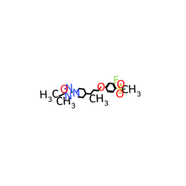 CC(C)c1nc(N2CCC([C@H](C)CCOc3ccc(S(C)(=O)=O)c(F)c3)CC2)no1